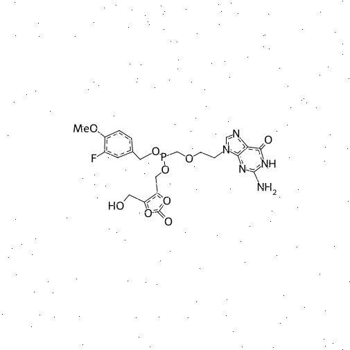 COc1ccc(COP(COCCn2cnc3c(=O)[nH]c(N)nc32)OCc2oc(=O)oc2CO)cc1F